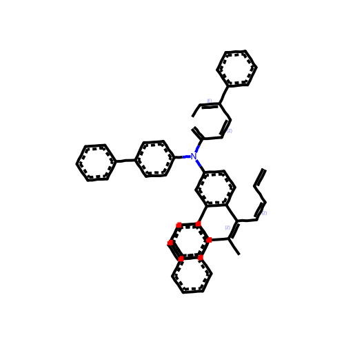 C=C/C=C\C(=C(/C)c1cccc2ccccc12)c1ccc(N(C(=C)/C=C\C(=C/C)c2ccccc2)c2ccc(-c3ccccc3)cc2)cc1-c1cc#ccc1